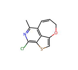 Cc1nc(Cl)c2scc3c2c1C=CCO3